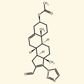 CC(=O)O[C@H]1CC[C@@]2(C)C(=CC[C@@H]3[C@@H]2CC[C@]2(C)C(n4ccnn4)=C(C=O)C[C@@H]32)C1